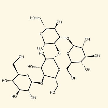 C[C@@H]1O[C@H](CO)[C@@H](O)[C@H](O[C@@H]2O[C@H](CO)[C@@H](O)[C@H](O)[C@H]2O)[C@H]1O[C@@H]1O[C@H](CO)[C@@H](O[C@@H]2O[C@H](CO)[C@@H](O)[C@H](O)[C@H]2O)[C@H](O)[C@H]1O